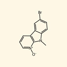 Cn1c2ccc(Br)cc2c2ccc[n+]([O-])c21